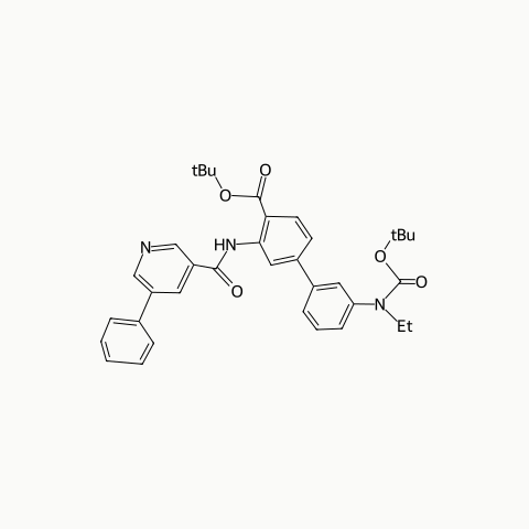 CCN(C(=O)OC(C)(C)C)c1cccc(-c2ccc(C(=O)OC(C)(C)C)c(NC(=O)c3cncc(-c4ccccc4)c3)c2)c1